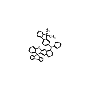 CC1(C)c2ccccc2-c2ccc(N(c3ccccc3)c3cccc4cc5c(cc34)Sc3ccccc3C53c4ccccc4-c4ccccc43)cc21